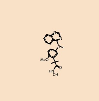 COc1ccc(N(C)c2ncnc3ccccc23)cc1C(C)(C)C(=O)NO